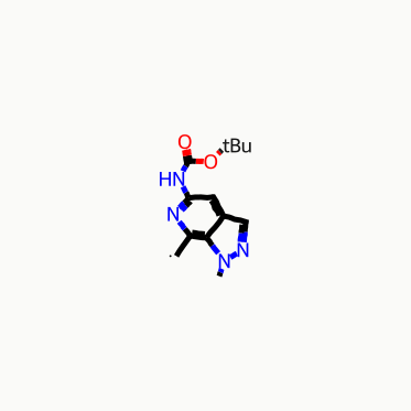 [CH2]c1nc(NC(=O)OC(C)(C)C)cc2cnn(C)c12